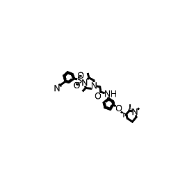 CC1CN(CC(=O)Nc2cccc(OC[C@@H]3CCCN(C)[C@@H]3C)c2)CC(C)N1S(=O)(=O)c1cccc(C#N)c1